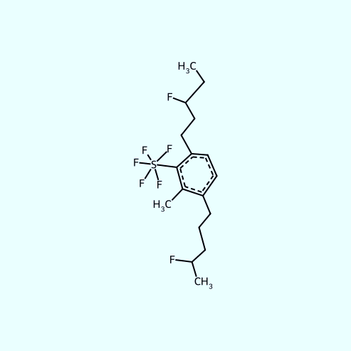 CCC(F)CCc1ccc(CCCC(C)F)c(C)c1S(F)(F)(F)(F)F